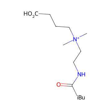 CCC(C)C(=O)NCC[N+](C)(C)CCCC(=O)O